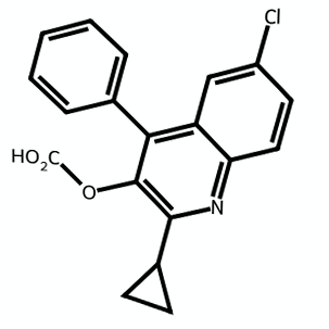 O=C(O)Oc1c(C2CC2)nc2ccc(Cl)cc2c1-c1ccccc1